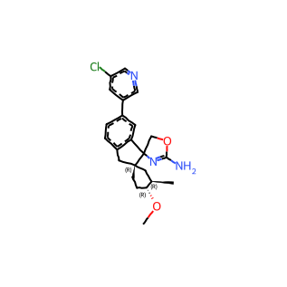 CO[C@@H]1CC[C@]2(Cc3ccc(-c4cncc(Cl)c4)cc3C23COC(N)=N3)C[C@H]1C